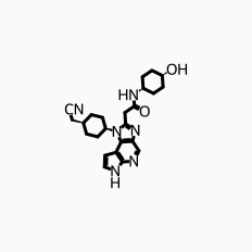 N#CC[C@H]1CC[C@@H](n2c(CC(=O)N[C@H]3CC[C@@H](O)CC3)nc3cnc4[nH]ccc4c32)CC1